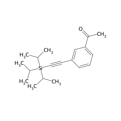 CC(=O)c1cccc(C#C[Si](C(C)C)(C(C)C)C(C)C)c1